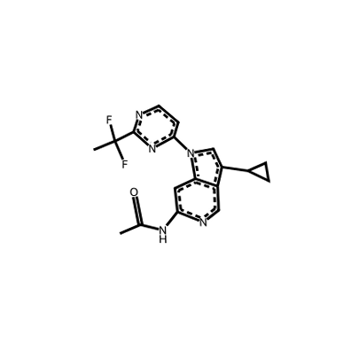 CC(=O)Nc1cc2c(cn1)c(C1CC1)cn2-c1ccnc(C(C)(F)F)n1